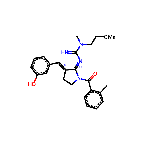 COCCN(C)C(=N)/N=C1\C(=C\c2cccc(O)c2)CCN1C(=O)c1ccccc1C